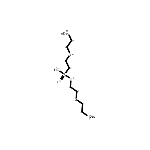 CCCCCCCCCCCCSCCOP(=O)(O)CCSCCCCCCCCCCCC